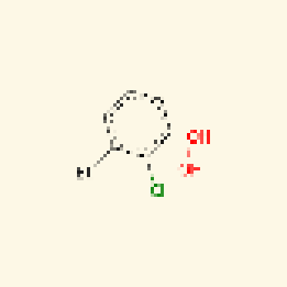 CCc1ccccc1Cl.OO